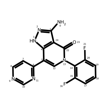 Nc1n[nH]c2c(-c3ccncn3)cn(-c3c(F)cccc3F)c(=O)c12